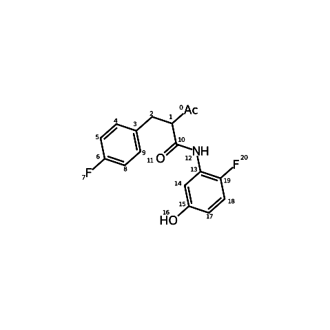 CC(=O)C(Cc1ccc(F)cc1)C(=O)Nc1cc(O)ccc1F